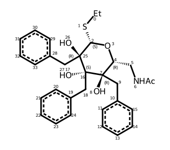 CCS[C@@H]1O[C@H](CNC(C)=O)[C@](O)(Cc2ccccc2)[C@@](O)(Cc2ccccc2)[C@]1(O)Cc1ccccc1